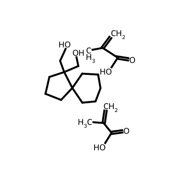 C=C(C)C(=O)O.C=C(C)C(=O)O.OCC1(CO)CCCC12CCCCC2